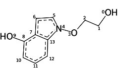 OCCOn1ccc2c(O)cccc21